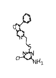 Nc1cc(Cl)nc(SCCc2cc3c(-c4ccccc4)coc3cn2)n1